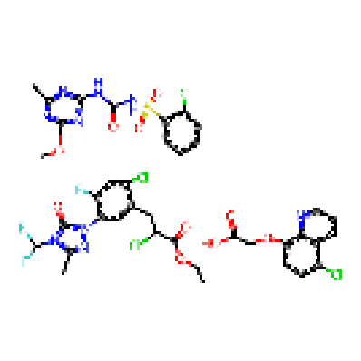 CCOC(=O)C(Cl)Cc1cc(-n2nc(C)n(C(F)F)c2=O)c(F)cc1Cl.COc1nc(C)nc(NC(=O)NS(=O)(=O)c2ccccc2Cl)n1.O=C(O)COc1ccc(Cl)c2cccnc12